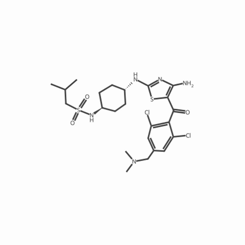 CC(C)CS(=O)(=O)N[C@H]1CC[C@H](Nc2nc(N)c(C(=O)c3c(Cl)cc(CN(C)C)cc3Cl)s2)CC1